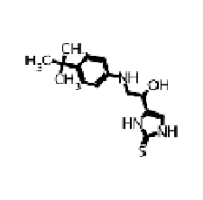 CC(C)(C)c1ccc(NCC(O)c2c[nH]c(=S)[nH]2)cc1